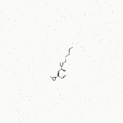 CCCCCCOc1cccc(OC)c1